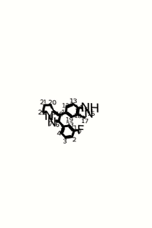 Fc1cccc(-c2nn3c(c2-c2ccc4[nH]ncc4c2)CCC3)c1